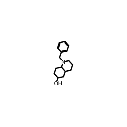 OC1CCC2C(CCCN2Cc2ccccc2)C1